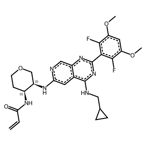 C=CC(=O)N[C@H]1CCOC[C@H]1Nc1cc2c(NCC3CC3)nc(-c3c(F)c(OC)cc(OC)c3F)nc2cn1